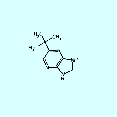 CC(C)(C)c1cnc2c(c1)NCN2